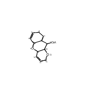 OC1C2CCC=CC2OC2C=CCOC21